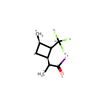 CC(C(=O)I)[C@H]1C[C@@H](C)C1C(F)(F)F